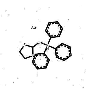 [Au].c1ccc([PH](SC2NCCS2)(c2ccccc2)c2ccccc2)cc1